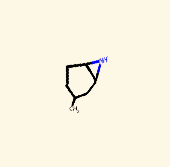 CC1CCC2NC2C1